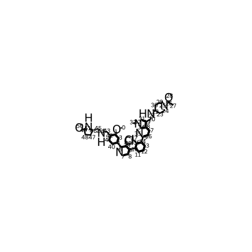 COc1cc(-c2nccc(-c3cccc(-c4ccc5c(CNC6CCN(C(C)=O)CC6)cn(C)c5n4)c3Cl)c2Cl)ccc1CNC[C@H]1CCC(=O)N1